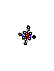 c1ccc(N2c3ccccc3C3(c4ccccc42)c2cc(-c4cc5ccccc5s4)oc2C2(c4ccccc4N(c4ccccc4)c4ccccc42)c2cc(-c4cc5ccccc5s4)oc23)cc1